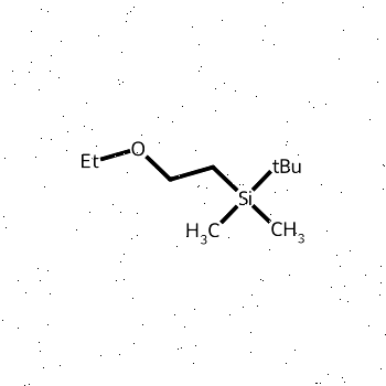 CCOCC[Si](C)(C)C(C)(C)C